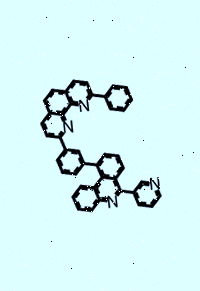 c1ccc(-c2ccc3ccc4ccc(-c5cccc(-c6cccc7c(-c8cccnc8)nc8ccccc8c67)c5)nc4c3n2)cc1